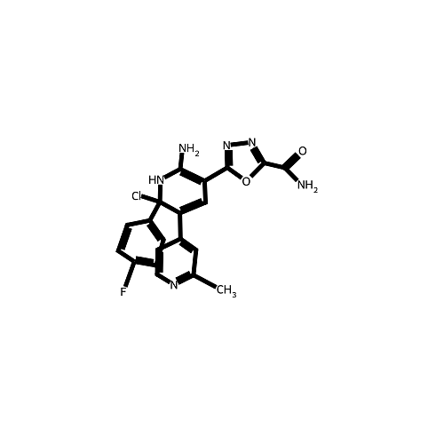 Cc1cc(C2=CC(c3nnc(C(N)=O)o3)=C(N)NC2(Cl)c2ccc(F)cc2)ccn1